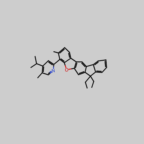 CCC1(CC)c2ccccc2-c2cc3c(cc21)oc1c(-c2cc(C(C)C)c(C)cn2)c(C)ccc13